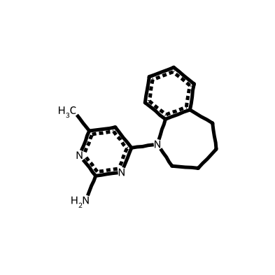 Cc1cc(N2CCCCc3ccccc32)nc(N)n1